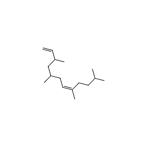 C=CC(C)CC(C)CC=C(C)CCC(C)C